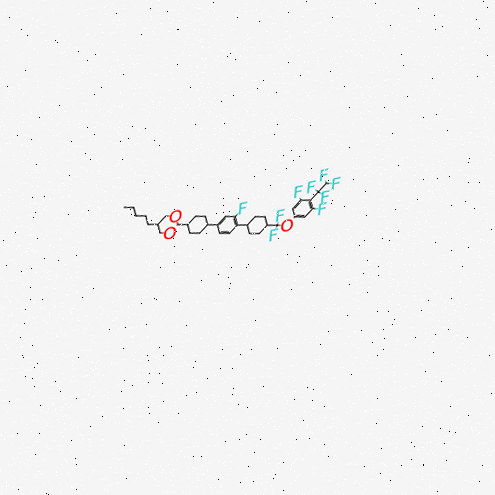 CCCCCC1COC(C2CCC(c3ccc(C4CCC(C(F)(F)Oc5cc(F)c(C(F)(F)C(F)F)c(F)c5)CC4)c(F)c3)CC2)OC1